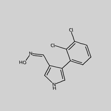 O/N=C\c1c[nH]cc1-c1cccc(Cl)c1Cl